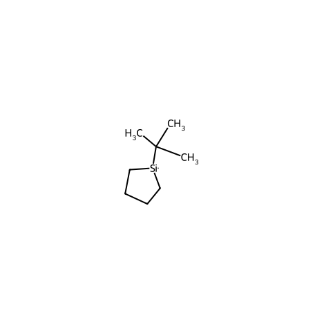 CC(C)(C)[Si]1CCCC1